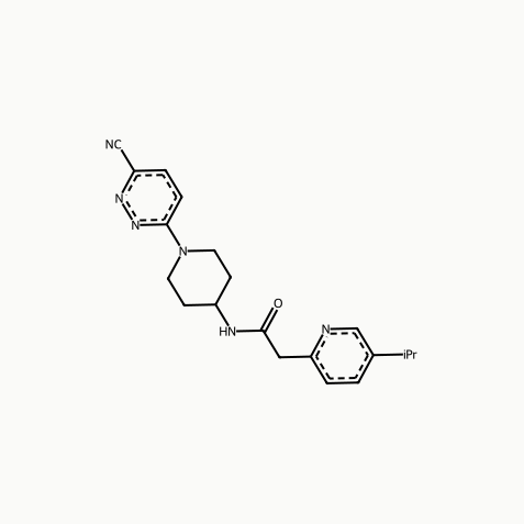 CC(C)c1ccc(CC(=O)NC2CCN(c3ccc(C#N)nn3)CC2)nc1